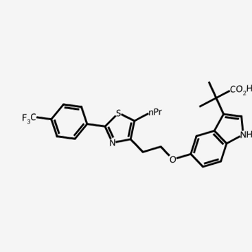 CCCc1sc(-c2ccc(C(F)(F)F)cc2)nc1CCOc1ccc2[nH]cc(C(C)(C)C(=O)O)c2c1